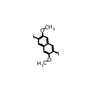 COc1cc2cc(I)c(OC)cc2cc1I